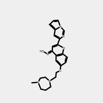 CN1CCCN(CCOc2ccc3oc(-c4cc5cccn5cn4)c/c(=N\O)c3c2)CC1